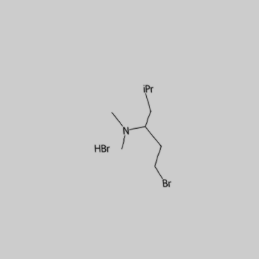 Br.CC(C)CC(CCBr)N(C)C